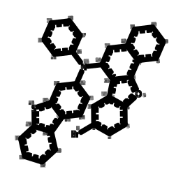 Brc1ccc2oc3c4ccccc4cc(N(c4ccccc4)c4ccc5c(c4)sc4ccccc45)c3c2c1